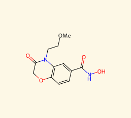 COCCN1C(=O)COc2ccc(C(=O)NO)cc21